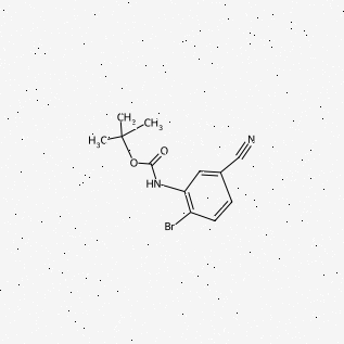 CC(C)(C)OC(=O)Nc1cc(C#N)ccc1Br